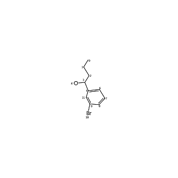 CCCC([O])c1cccc(Br)c1